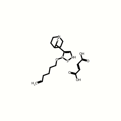 C=CCCCCON1SNC=C1C1CN2CCC1CC2.O=C(O)C=CC(=O)O